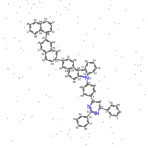 c1ccc(-c2cc(-c3ccc(-n4c5ccccc5c5c6ccc(-c7ccc8ccc(-c9cccc%10ccccc9%10)cc8c7)cc6ccc54)cc3)nc(-c3ccccc3)n2)cc1